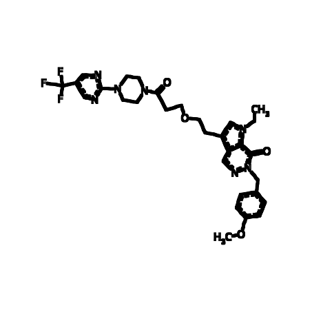 CCn1cc(CCOCCC(=O)N2CCN(c3ncc(C(F)(F)F)cn3)CC2)c2cnn(Cc3ccc(OC)cc3)c(=O)c21